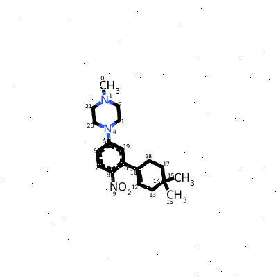 CN1CCN(c2ccc([N+](=O)[O-])c(C3=CCC(C)(C)CC3)c2)CC1